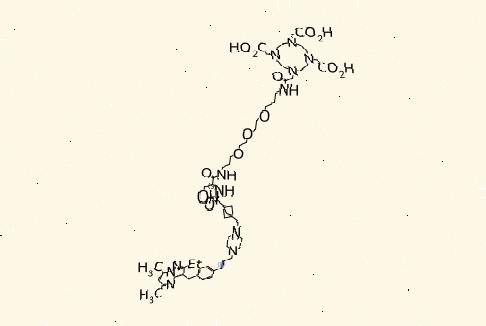 CCc1nn2c(C)cc(C)nc2c1Cc1ccc(/C=C/CN2CCN(CC34CC(C(=O)N[C@@H](CO)C(=O)NCCCOCCOCCOCCCNC(=O)CN5CCN(CC(=O)O)CCN(CC(=O)O)CCN(CC(=O)O)CC5)(C3)C4)CC2)cc1